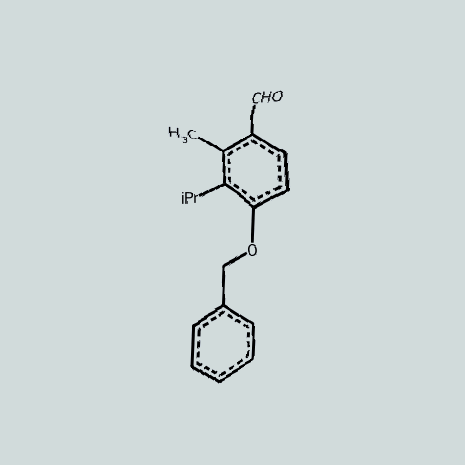 Cc1c(C=O)ccc(OCc2ccccc2)c1C(C)C